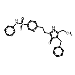 CCc1[nH]n(CCc2ccc(S(=O)(=O)Nc3ccccc3)cn2)c(=O)c1Cc1ccccc1